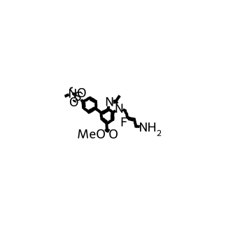 COC(=O)c1cc(-c2ccc(S(=O)(=O)N(C)C)cc2)c2nc(C)n(C/C(F)=C/CN)c2c1